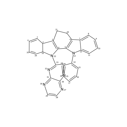 C1=CC2C3=C(c4c(c5ccccc5n4-c4ccccc4)CC3)N(c3cnc4nccnc4n3)C2C=C1